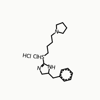 Cl.Cl.c1ccc(CC2CN=C(SCCCCN3CCCC3)N2)cc1